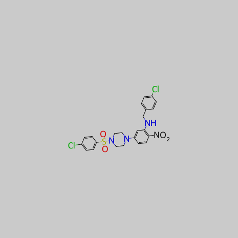 O=[N+]([O-])c1ccc(N2CCN(S(=O)(=O)c3ccc(Cl)cc3)CC2)cc1NCc1ccc(Cl)cc1